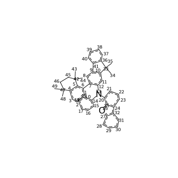 Cc1ccc2c(c1-c1cc3c(cc1N(c1ccccc1)c1cccc4c1oc1ccccc14)C(C)(C)c1ccccc1-3)C(C)(C)CCC2(C)C